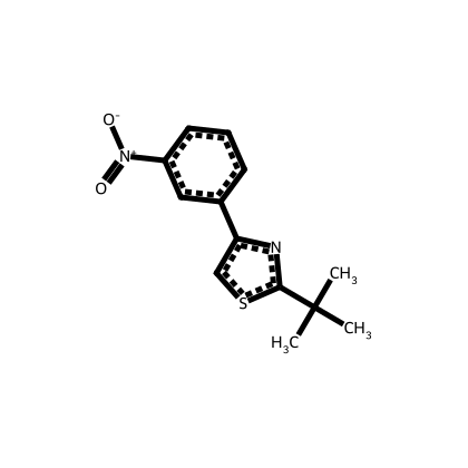 CC(C)(C)c1nc(-c2cccc([N+](=O)[O-])c2)cs1